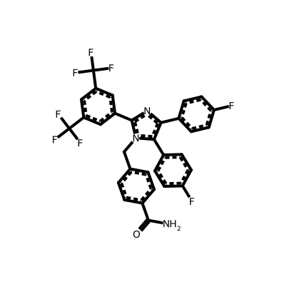 NC(=O)c1ccc(Cn2c(-c3cc(C(F)(F)F)cc(C(F)(F)F)c3)nc(-c3ccc(F)cc3)c2-c2ccc(F)cc2)cc1